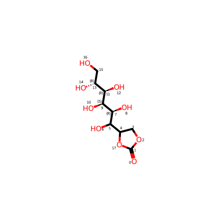 O=C1OCC(C(O)[C@H](O)[C@@H](O)[C@H](O)[C@H](O)CO)O1